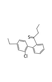 CCCC(=S)c1ccccc1-c1ccc(CC)cc1Cl